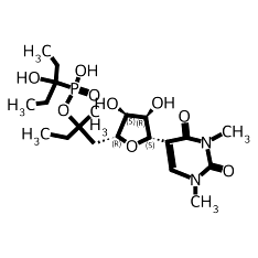 CCC(C)(C[C@H]1O[C@@H](c2cn(C)c(=O)n(C)c2=O)[C@H](O)[C@@H]1O)OP(=O)(O)C(O)(CC)CC